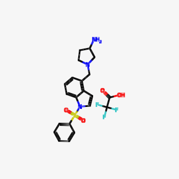 NC1CCN(Cc2cccc3c2ccn3S(=O)(=O)c2ccccc2)C1.O=C(O)C(F)(F)F